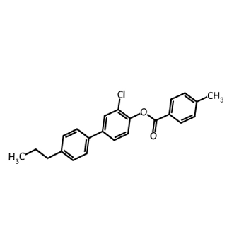 CCCc1ccc(-c2ccc(OC(=O)c3ccc(C)cc3)c(Cl)c2)cc1